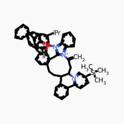 C=C1CC2C(CCc3ccc4c(oc5ccccc54)c3-c3n(-c4c(C(C)C)cc(-c5ccccc5)cc4C(C)C)c4ccccc4[n+]31)c1ccccc1-c1ccc([Si](C)(C)C)c[n+]12